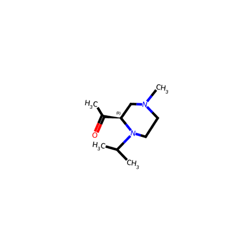 CC(=O)[C@H]1CN(C)CCN1C(C)C